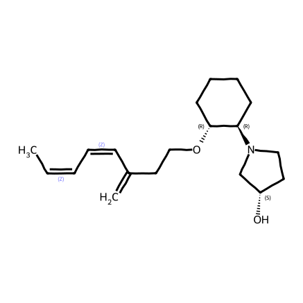 C=C(/C=C\C=C/C)CCO[C@@H]1CCCC[C@H]1N1CC[C@H](O)C1